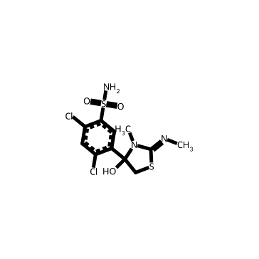 CN=C1SCC(O)(c2cc(S(N)(=O)=O)c(Cl)cc2Cl)N1C